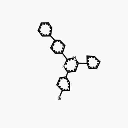 Brc1ccc(-c2cc(-c3ccccc3)nc(-c3ccc(-c4ccccc4)cc3)n2)cc1